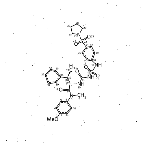 COc1ccc(N(C)C(=O)[C@@H](NC(=O)NS(=O)(=O)Nc2ccc(S(=O)(=O)N3CCCC3)cc2)[C@H](C)c2ccccc2)cc1